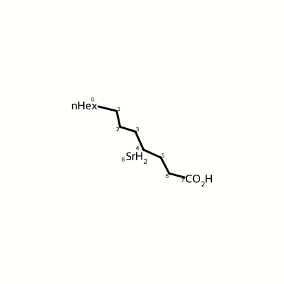 CCCCCCCCCCCCC(=O)O.[SrH2]